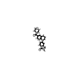 Cn1nc2cc(N3CCCc4cc(C(=O)N5CCOCC5)cnc43)ccn2c1=O